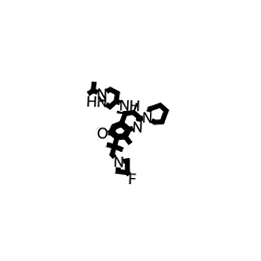 COc1cc2c(c(C)c1C(C)(C)CN1CC(F)C1)N=C(N1CCCCC1)[C@H](C)[C@@]2(C)NC1CCN(C(C)C)NC1